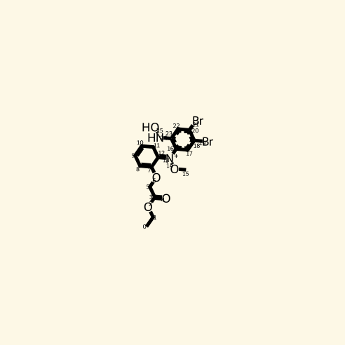 CCOC(=O)COC1=CC=CC/C1=[N+](/OC)c1cc(Br)c(Br)cc1NO